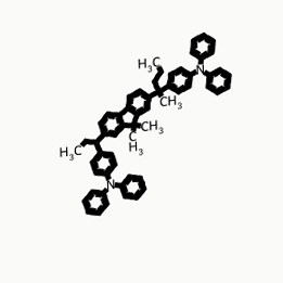 CCCC(C)(c1ccc(N(c2ccccc2)c2ccccc2)cc1)c1ccc2c(c1)C(C)(C)c1cc(C(CC)c3ccc(N(c4ccccc4)c4ccccc4)cc3)ccc1-2